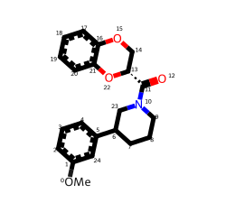 COc1cccc(C2CCCN(C(=O)[C@H]3COc4ccccc4O3)C2)c1